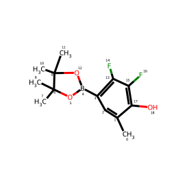 Cc1cc(B2OC(C)(C)C(C)(C)O2)c(F)c(F)c1O